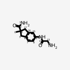 CC1(C(N)=O)Cc2ccc(NC(=O)CN)cc2C1